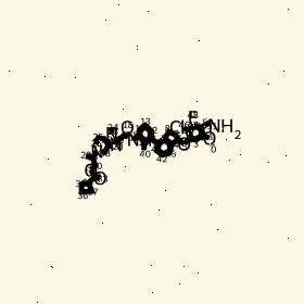 COc1cc(OC2CCc3c(-c4cccc(NC(=O)c5nc6c(n5C)CCN(C(C)COC(=O)C5CCC5)C6)c4C)cccc32)c(Cl)c(F)c1CN